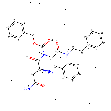 NC(=O)C[C@H](N)C(=O)N(C(=O)OCc1ccccc1)[C@@H](Cc1ccccc1)C(=O)NCCc1ccccc1